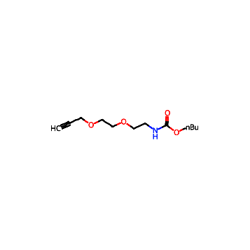 C#CCOCCOCCNC(=O)OCCCC